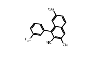 CC(C)(C)c1ccc2cc(C#N)c(C#N)c(-c3cccc(C(F)(F)F)c3)c2c1